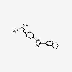 CN(C)CCN1CCC(c2nc(-c3ccc4c(c3)CCCC4)cs2)CC1